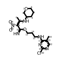 C/C(NC1CCCOC1)=C(/C(=N)OCCCNc1nc(Cl)ncc1C)[N+](=O)[O-]